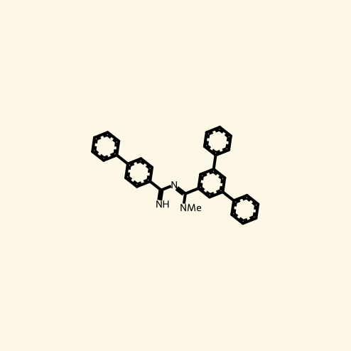 CN/C(=N\C(=N)c1ccc(-c2ccccc2)cc1)c1cc(-c2ccccc2)cc(-c2ccccc2)c1